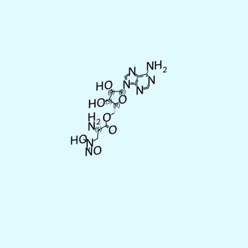 Nc1ncnc2c1ncn2[C@@H]1O[C@H](COC(=O)[C@@H](N)CN(O)N=O)[C@@H](O)[C@H]1O